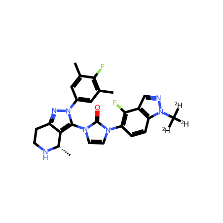 [2H]C([2H])([2H])n1ncc2c(F)c(-n3ccn(-c4c5c(nn4-c4cc(C)c(F)c(C)c4)CCN[C@H]5C)c3=O)ccc21